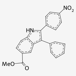 COC(=O)c1ccc2[nH]c(-c3ccc([N+](=O)[O-])cc3)c(-c3ccccc3)c2c1